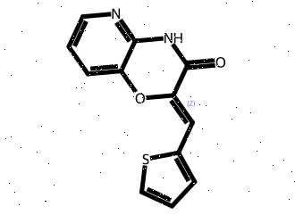 O=C1Nc2ncccc2O/C1=C\c1cccs1